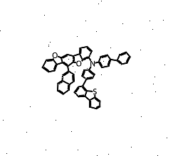 c1ccc(-c2ccc(N(c3ccc(-c4cccc5c4sc4ccccc45)cc3)c3cccc4c3oc3c(-c5ccc6ccccc6c5)c5c(cc34)oc3ccccc35)cc2)cc1